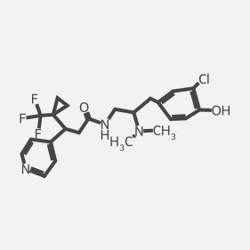 CN(C)C(CNC(=O)CC(c1ccncc1)C1(C(F)(F)F)CC1)Cc1ccc(O)c(Cl)c1